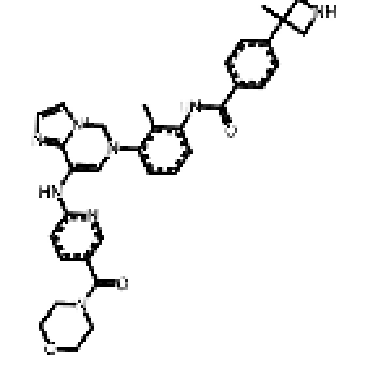 Cc1c(NC(=O)c2ccc(C3(C)CNC3)cc2)cccc1N1C=C(Nc2ccc(C(=O)N3CCOCC3)cn2)C2=NC=C[N+]2C1